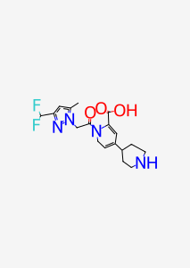 Cc1cc(C(F)F)nn1CC(=O)N1CC=C(C2CCNCC2)C=C1C(=O)O